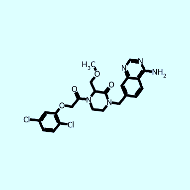 COCC1C(=O)N(Cc2ccc3c(N)ncnc3c2)CCN1C(=O)COc1cc(Cl)ccc1Cl